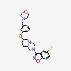 Fc1ccc2onc(N3CCN4C[C@H](Oc5cccc(CN6CCOCC6)c5)CCC4C3)c2c1